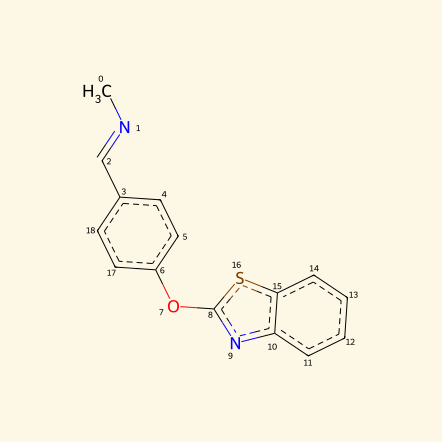 CN=Cc1ccc(Oc2nc3ccccc3s2)cc1